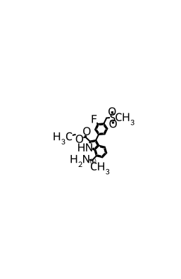 CCOC(=O)c1[nH]c2c([C@H](C)N)cccc2c1-c1ccc(CS(C)(=O)=O)c(F)c1